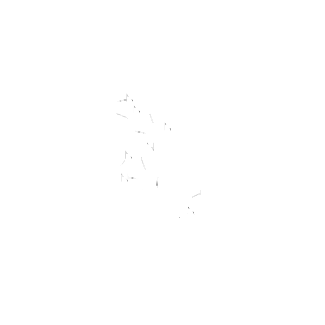 CN(C)c1cn2nccc2cc1Nc1ncnc2sc3c(c12)CC[C@H](C(=O)N1CCCC1(C)C)C3